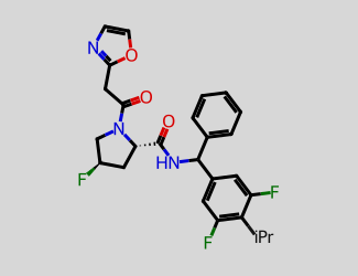 CC(C)c1c(F)cc(C(NC(=O)[C@@H]2C[C@@H](F)CN2C(=O)Cc2ncco2)c2ccccc2)cc1F